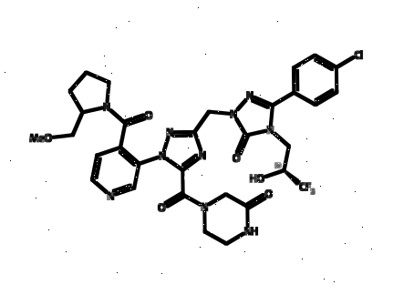 COCC1CCCN1C(=O)c1ccncc1-n1nc(Cn2nc(-c3ccc(Cl)cc3)n(C[C@H](O)C(F)(F)F)c2=O)nc1C(=O)N1CCNC(=O)C1